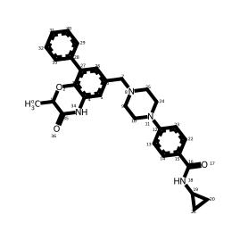 CC1Oc2c(cc(CN3CCN(c4ccc(C(=O)NC5CC5)cc4)CC3)cc2-c2ccccc2)NC1=O